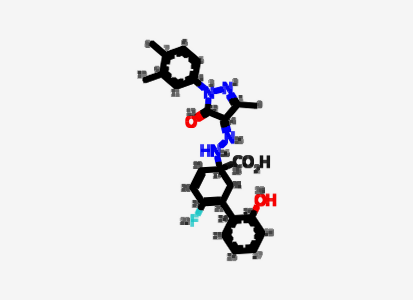 CC1=NN(c2ccc(C)c(C)c2)C(=O)/C1=N\NC1(C(=O)O)C=CC(F)=C(c2ccccc2O)C1